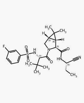 CC[C@@H](C#N)NC(=O)[C@@H]1[C@@H]2[C@H](CN1C(=O)[C@@H](NS(=O)(=O)c1cccc(F)c1)C(C)(C)C)C2(C)C